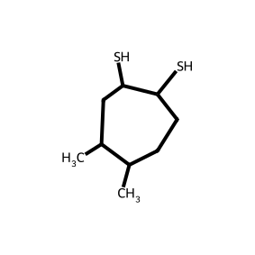 CC1CCC(S)C(S)CC1C